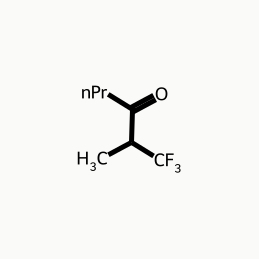 CCCC(=O)C(C)C(F)(F)F